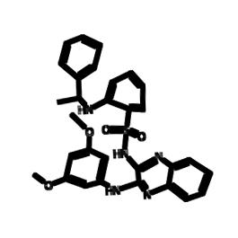 COc1cc(Nc2nc3ccccc3nc2NS(=O)(=O)c2ccccc2NC(C)c2ccccc2)cc(OC)c1